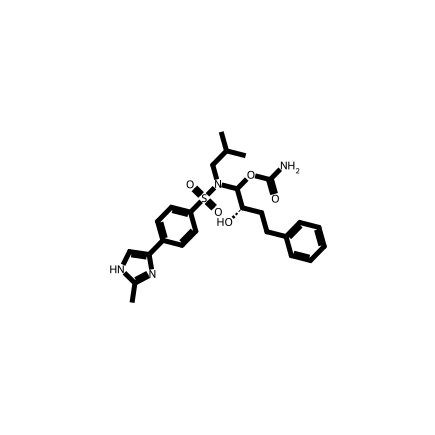 Cc1nc(-c2ccc(S(=O)(=O)N(CC(C)C)C(OC(N)=O)[C@@H](O)CCc3ccccc3)cc2)c[nH]1